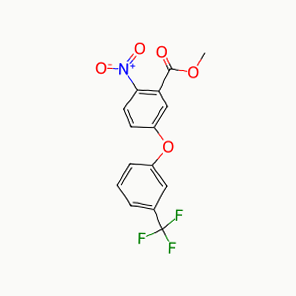 COC(=O)c1cc(Oc2cccc(C(F)(F)F)c2)ccc1[N+](=O)[O-]